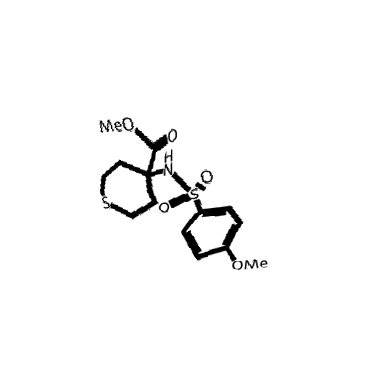 COC(=O)C1(NS(=O)(=O)c2ccc(OC)cc2)CCSCC1